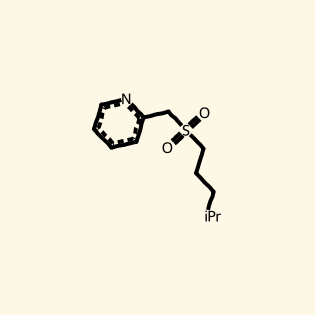 CC(C)CCCS(=O)(=O)Cc1ccccn1